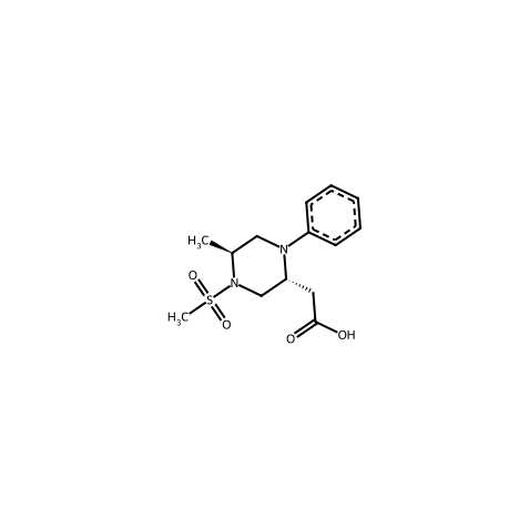 C[C@H]1CN(c2ccccc2)[C@H](CC(=O)O)CN1S(C)(=O)=O